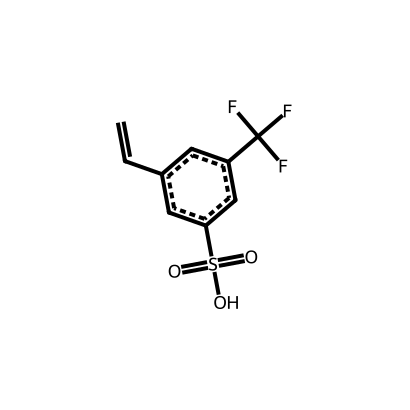 C=Cc1cc(C(F)(F)F)cc(S(=O)(=O)O)c1